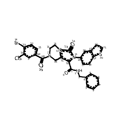 O=C(NCc1ccccc1)c1c2n(c(=O)n1-c1ccc3sccc3c1)CCN(C(=O)c1ccc(Br)c(Cl)c1)C2